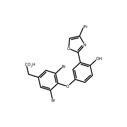 CC(C)c1coc(-c2cc(Oc3c(Br)cc(CC(=O)O)cc3Br)ccc2O)n1